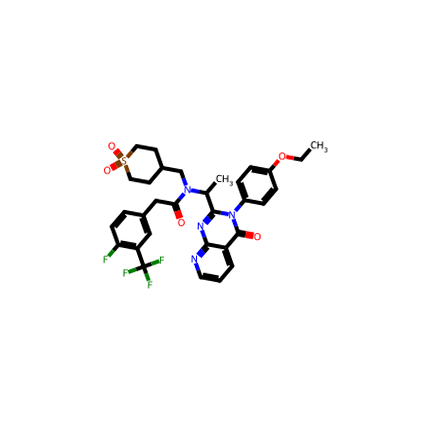 CCOc1ccc(-n2c(C(C)N(CC3CCS(=O)(=O)CC3)C(=O)Cc3ccc(F)c(C(F)(F)F)c3)nc3ncccc3c2=O)cc1